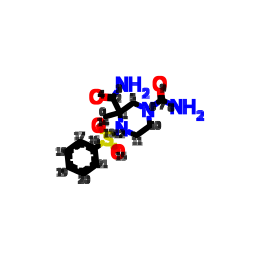 CC1(C(N)=O)CN(C(N)=O)CCN1S(=O)(=O)c1ccccc1